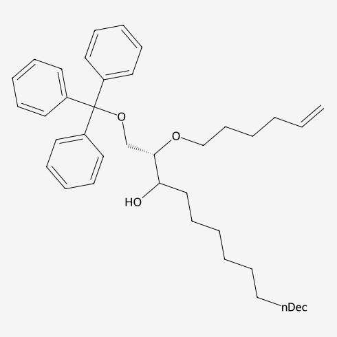 C=CCCCCO[C@@H](COC(c1ccccc1)(c1ccccc1)c1ccccc1)C(O)CCCCCCCCCCCCCCCC